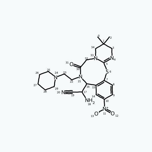 CC1(C)CN=C2Sc3ccc([N+](=O)[O-])cc3C(C(N)C#N)N(CCN3CCCCC3)C(=O)CN2C1